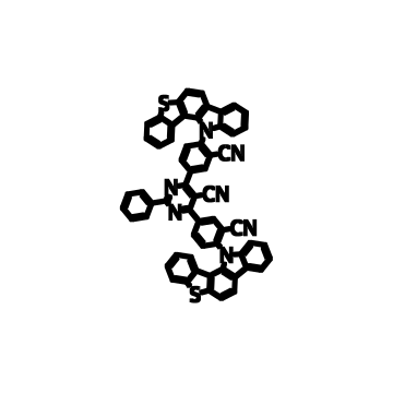 N#Cc1cc(-c2nc(-c3ccccc3)nc(-c3ccc(-n4c5ccccc5c5ccc6sc7ccccc7c6c54)c(C#N)c3)c2C#N)ccc1-n1c2ccccc2c2ccc3sc4ccccc4c3c21